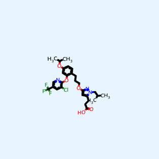 CC(C)Cn1nc(OCCCc2ccc(OC(C)C)cc2Oc2ncc(C(F)(F)F)cc2Cl)cc1CCC(=O)O